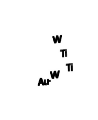 [Au].[Ti].[Ti].[W].[W]